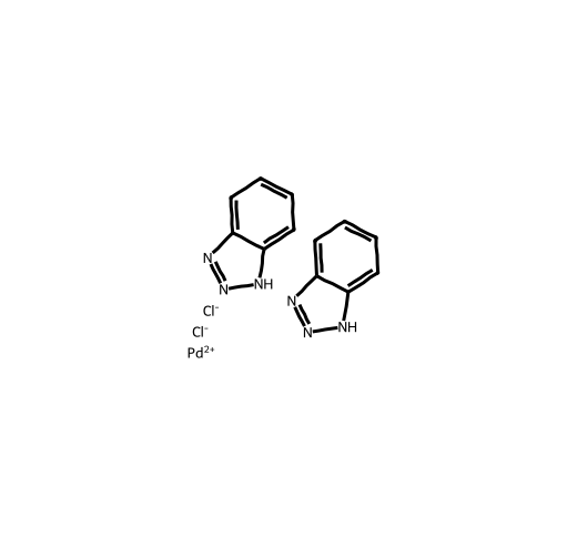 [Cl-].[Cl-].[Pd+2].c1ccc2[nH]nnc2c1.c1ccc2[nH]nnc2c1